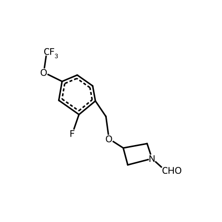 O=CN1CC(OCc2ccc(OC(F)(F)F)cc2F)C1